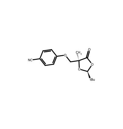 CC(C)(C)[C@@H]1OC(=O)[C@](C)(COc2ccc(C#N)cc2)O1